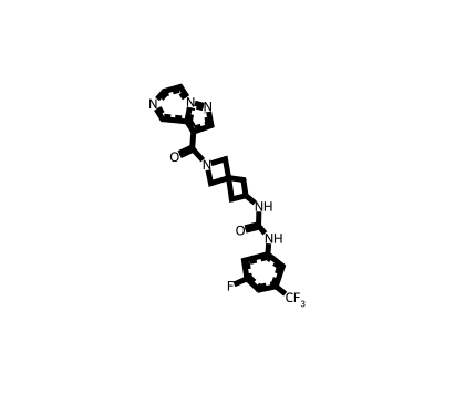 O=C(Nc1cc(F)cc(C(F)(F)F)c1)NC1CC2(C1)CN(C(=O)c1cnn3ccncc13)C2